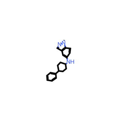 Cn1ncc2cc(NC3CCC(c4ccccc4)CC3)ccc21